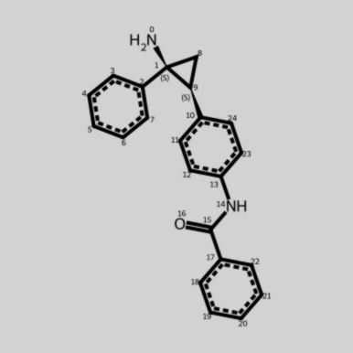 N[C@@]1(c2ccccc2)C[C@H]1c1ccc(NC(=O)c2ccccc2)cc1